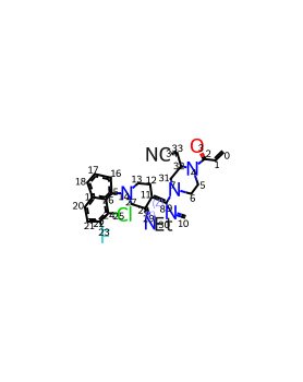 C=CC(=O)N1CCN(/C(N=C)=C2\CCN(c3cccc4ccc(F)c(Cl)c34)C\C2=N\CC)CC1CC#N